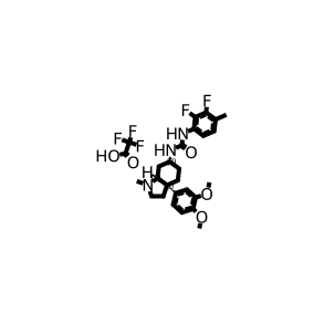 COc1ccc([C@@]23CC[C@@H](NC(=O)Nc4ccc(C)c(F)c4F)C[C@@H]2N(C)CC3)cc1OC.O=C(O)C(F)(F)F